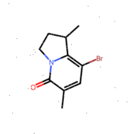 Cc1cc(Br)c2n(c1=O)CCC2C